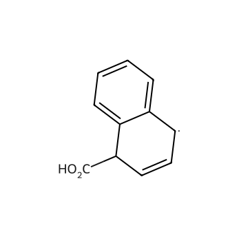 O=C(O)C1C=C[CH]c2ccccc21